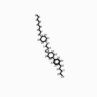 CCCCCCCCC[C@H]1CC[C@H](CCCO[C@H]2CC[C@H](c3ccc(CCCCC)cc3)CC2)CC1